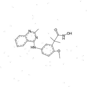 COc1ccc(Nc2nc(C)nc3ccccc23)cc1C(C)(C)C(=O)NO